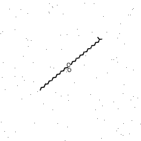 CCCCCCCCCCCCCCC(=O)OCCCCCCCCCCCCCCCC(C)C